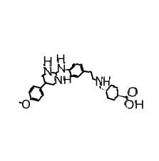 COc1ccc(C2CNC(Nc3ccc(CCNC[C@H]4CC[C@H](C(=O)O)CC4)cc3)NC2)cc1